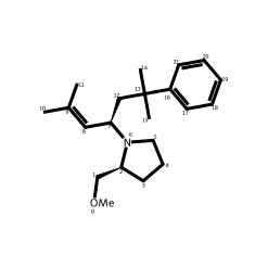 COC[C@@H]1CCCN1[C@@H](C=C(C)C)CC(C)(C)c1ccccc1